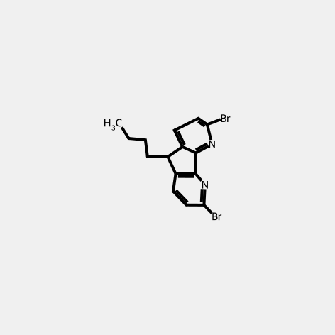 CCCCC1c2ccc(Br)nc2-c2nc(Br)ccc21